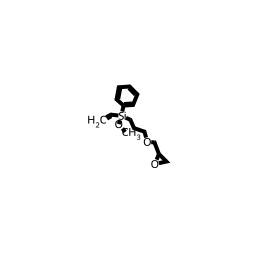 C=C[Si](CCCOCC1CO1)(OC)c1ccccc1